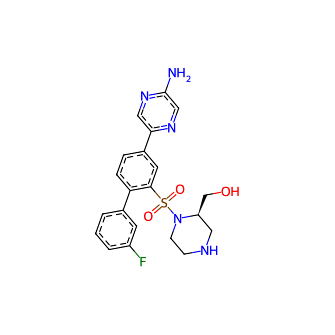 Nc1cnc(-c2ccc(-c3cccc(F)c3)c(S(=O)(=O)N3CCNC[C@@H]3CO)c2)cn1